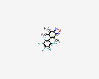 Cc1c(-c2c(F)c(F)c(F)c(F)c2F)c(C(F)(F)F)c(C)c2nonc12